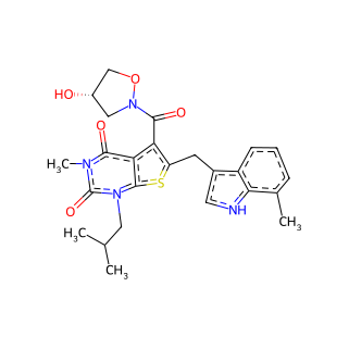 Cc1cccc2c(Cc3sc4c(c3C(=O)N3C[C@H](O)CO3)c(=O)n(C)c(=O)n4CC(C)C)c[nH]c12